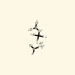 FB(F)F.[Li+].[Li+].[O-]B([O-])OC(F)(F)F